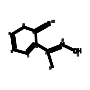 CC(=NO)C1=CC=CCC1=S